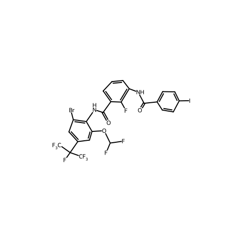 O=C(Nc1cccc(C(=O)Nc2c(Br)cc(C(F)(C(F)(F)F)C(F)(F)F)cc2OC(F)F)c1F)c1ccc(I)cc1